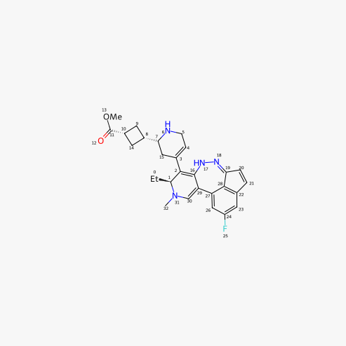 CC[C@H]1C(C2=CCNC([C@H]3C[C@@H](C(=O)OC)C3)C2)=C2NN=C3C=Cc4cc(F)cc(c43)C2=CN1C